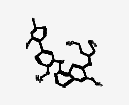 CCCC(CC)Oc1cc2c(Nc3cc(-c4ccc(F)nc4F)ccc3OC)ncnc2cc1OC